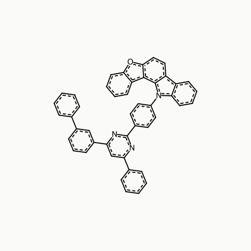 c1ccc(-c2cccc(-c3cc(-c4ccccc4)nc(-c4ccc(-n5c6ccccc6c6ccc7oc8ccccc8c7c65)cc4)n3)c2)cc1